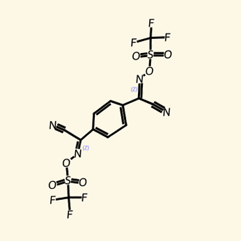 N#C/C(=N\OS(=O)(=O)C(F)(F)F)c1ccc(/C(C#N)=N/OS(=O)(=O)C(F)(F)F)cc1